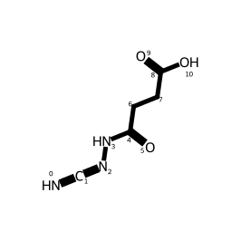 N=C=NNC(=O)CCC(=O)O